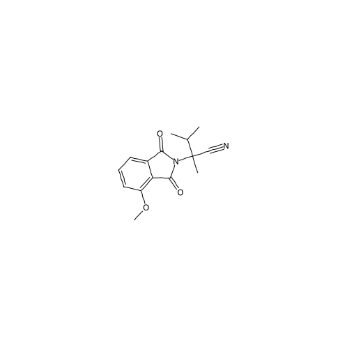 COc1cccc2c1C(=O)N(C(C)(C#N)C(C)C)C2=O